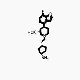 Cl.Cl.N[C@H]1CC[C@H](CCN2CCC(c3ccc(F)c4occc34)CC2)CC1